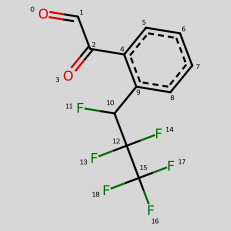 O=CC(=O)c1ccccc1C(F)C(F)(F)C(F)(F)F